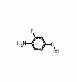 CCOc1ccc(N)c(F)c1